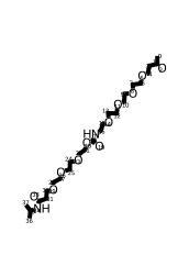 CC(=O)CCOCCOCCOCCOCCNC(=O)OCCOCCOCCOCCC(=O)NC(C)C